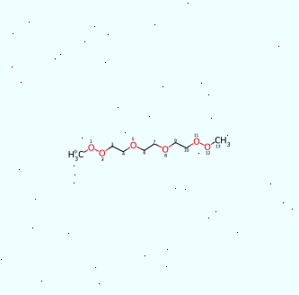 COOCCOCCOCCOOC